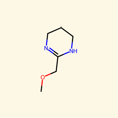 COCC1=NC[CH]CN1